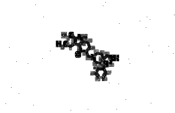 CCc1c(C)[nH]c2c1C(=O)C(CN1CCC3(CC1)CNCN3c1ccccc1)CC2